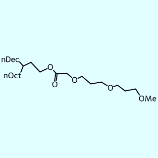 CCCCCCCCCCC(CCCCCCCC)CCOC(=O)COCCCOCCCOC